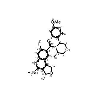 COc1ccc([C@H]2COC[C@@H](C)N2C(=O)c2cc3c4c(c(N)nc3cc2F)[C@@H](C)OC4)nn1